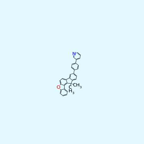 CC1(C)c2ccc(-c3ccc(-c4cccnc4)cc3)cc2-c2ccc3oc4ccccc4c3c21